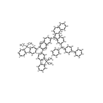 CC1(C)c2ccccc2-c2ccc(-c3nc4ccc(-n5c6cc(N(c7ccccc7)c7ccc(-c8ccccc8)cc7)ccc6c6c7ccccc7ccc65)cc4nc3-c3ccc4c(c3)C(C)(C)c3ccccc3-4)cc21